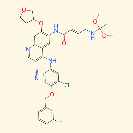 COC(C)(NCC=CC(=O)Nc1cc2c(Nc3ccc(OCc4cccc(F)c4)c(Cl)c3)c(C#N)cnc2cc1OC1CCOC1)OC